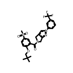 CC(C)(C)COc1ccc(S(C)(=O)=O)cc1C(=O)N1Cc2cn(-c3cccc(C(F)(F)F)c3)nc2C1